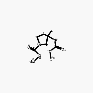 CC1(NC(=O)OC(C)(C)C)CCN(C(=O)OC(C)(C)C)C1